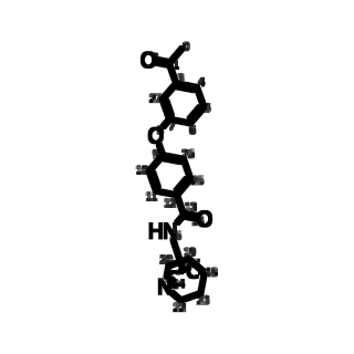 CC(=O)c1cccc(Oc2ccc(C(=O)NC3CC4CCN(CC4)C3)cc2)c1